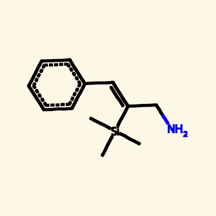 C[Si](C)(C)C(=Cc1ccccc1)CN